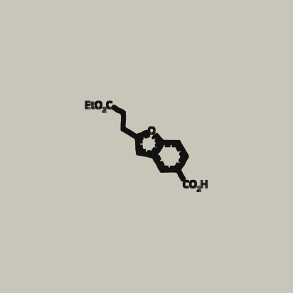 CCOC(=O)CCc1cc2cc(C(=O)O)ccc2o1